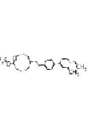 C=C/C=C(\C=C/CC=C)C1=CC=C(CC/C2=C/CCOC(OC(F)(F)F)CCCC2)CC1